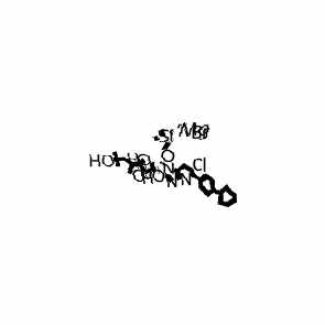 CC(C)(O)CC1CO[C@H]2[C@@H]1OC[C@H]2Oc1nc2nc(-c3ccc(-c4ccccc4)cc3)c(Cl)cc2n1COCC[Si](C)(C)C.[CH3][Mg][Br]